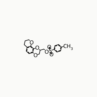 Cc1ccc(S(=O)(=O)OCC2COc3ccc4c(c3O2)OCCC4)cc1